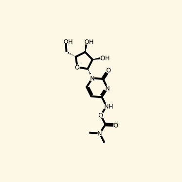 CN(C)C(=O)ONc1ccn([C@@H]2O[C@H](CO)[C@@H](O)[C@H]2O)c(=O)n1